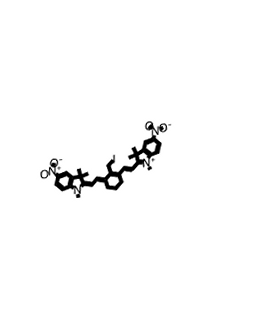 CN1/C(=C/C=C2\CCCC(/C=C/C3=[N+](C)c4ccc([N+](=O)[O-])cc4C3(C)C)=C2CI)C(C)(C)c2cc([N+](=O)[O-])ccc21